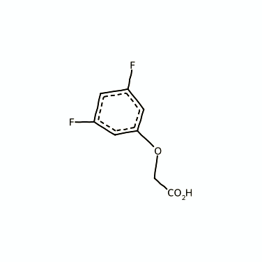 O=C(O)COc1cc(F)cc(F)c1